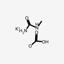 CNC(N)=O.O=C([O-])O.[K+]